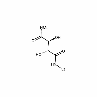 CCNC(=O)[C@H](O)[C@H](O)C(=O)NC